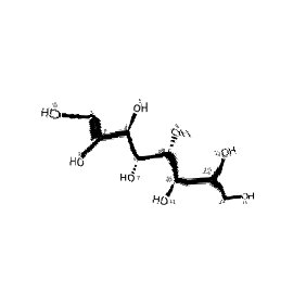 O/C=C(\O)[C@@H](O)[C@@H](O)[C@H](O)[C@H](O)C(O)CO